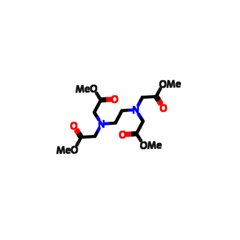 COC(=O)CN(CCN(CC(=O)OC)CC(=O)OC)CC(=O)OC